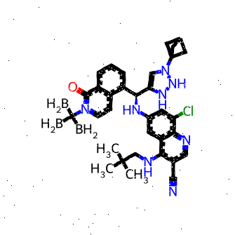 BC(B)(B)n1ccc2c([C@H](Nc3cc(Cl)c4ncc(C#N)c(NCC(C)(C)C)c4c3)C3=CN(C45CC(C4)C5)NN3)cccc2c1=O